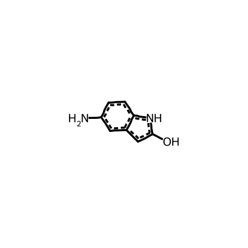 Nc1ccc2[nH]c(O)cc2c1